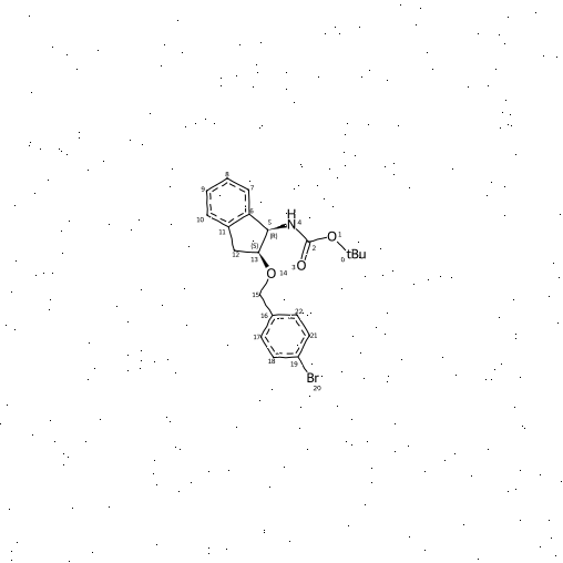 CC(C)(C)OC(=O)N[C@@H]1c2ccccc2C[C@@H]1OCc1ccc(Br)cc1